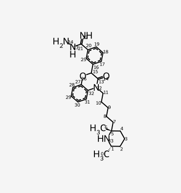 C[C@H]1CCC[C@@](C)(CCCCCN2C(=O)C(c3cccc(C(=N)NN)c3)Oc3ccccc32)N1